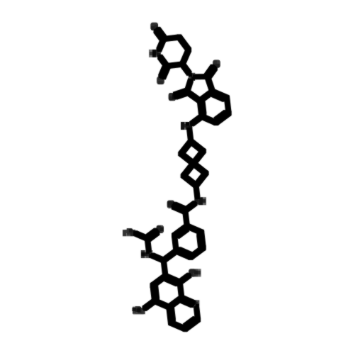 CCCC(=O)NC(c1cccc(C(=O)NC2CC3(C2)CC(Nc2cccc4c2C(=O)N(C2CCC(=O)NC2=O)C4=O)C3)c1)c1cc(C(C)(C)C)c2cccnc2c1O